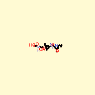 CCc1cc(-c2noc(-c3cc(OC)cc(CC(C)C)n3)n2)cc(C)c1OC[C@@H](O)CNC(=O)CO